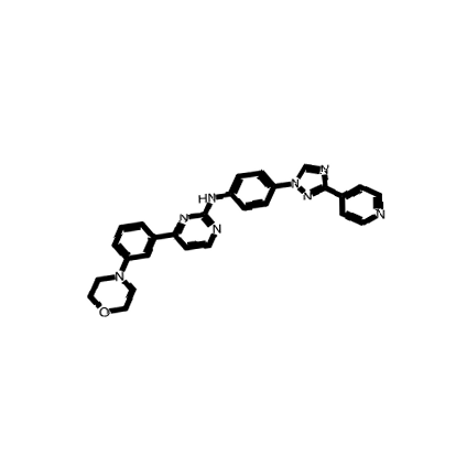 c1cc(-c2ccnc(Nc3ccc(-n4cnc(-c5ccncc5)n4)cc3)n2)cc(N2CCOCC2)c1